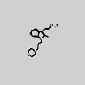 Cc1c(C=CC(=O)O)c2ccccc2n1CCCN1CCOCC1